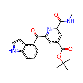 CNC(=O)c1cc(C(=O)OC(C)(C)C)cc(C(=O)c2cccc3[nH]ccc23)n1